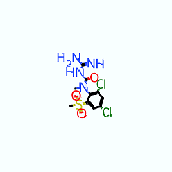 CN(C(=O)NC(=N)N)c1c(Cl)cc(Cl)cc1S(C)(=O)=O